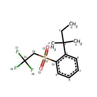 CCC(C)(C)c1ccccc1S(=O)(=O)CC(F)(F)F